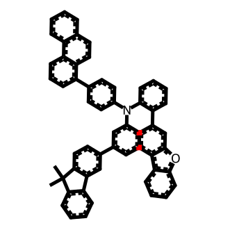 CC1(C)c2ccccc2-c2cc(-c3cccc(N(c4ccc(-c5cccc6c5ccc5ccccc56)cc4)c4ccccc4-c4ccc5c(c4)oc4ccccc45)c3)ccc21